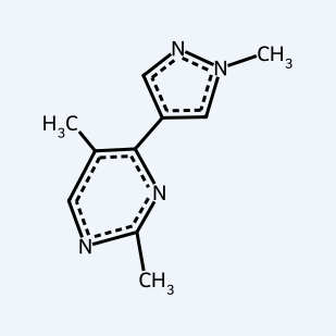 Cc1ncc(C)c(-c2cnn(C)c2)n1